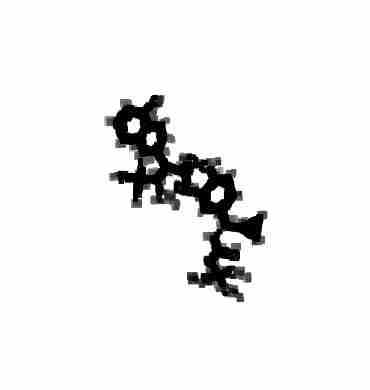 C[C@H](C(C(=O)Nc1cc([C@@H](CC(=O)OC(C)(C)C)C2CC2)ccc1Cl)c1ccc2c(Cl)cccc2c1)C(F)(F)F